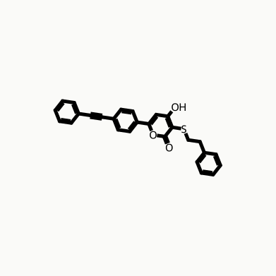 O=c1oc(-c2ccc(C#Cc3ccccc3)cc2)cc(O)c1SCCc1ccccc1